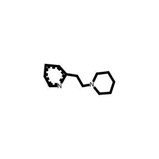 [c]1cccc(CCN2CCCCC2)n1